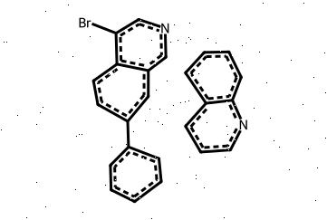 Brc1cncc2cc(-c3ccccc3)ccc12.c1ccc2ncccc2c1